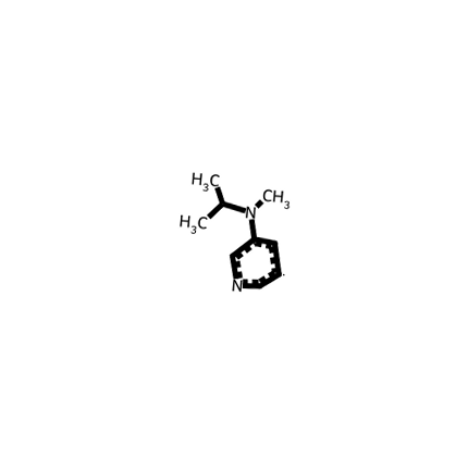 CC(C)N(C)c1c[c]cnc1